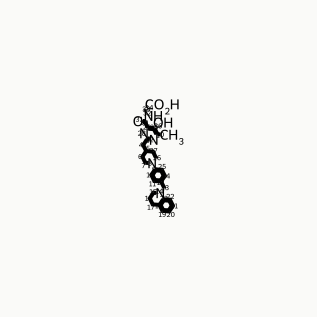 Cc1nc(CC2CCN(c3ccc(CN4CCCc5ccccc54)cc3)CC2)nc(C(=O)NCC(=O)O)c1O